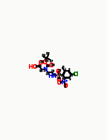 Cc1cc(Cl)cc([N+](=O)[O-])c1S(=O)(=O)NCCN(CC(=O)O)C(=O)OC(C)(C)C